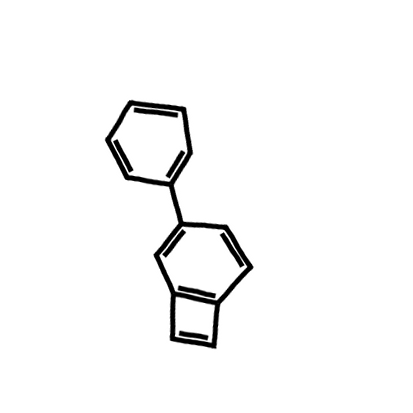 C1=Cc2cc(-c3ccccc3)ccc21